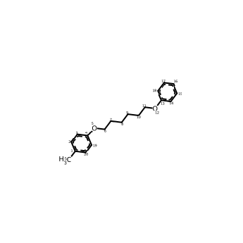 Cc1ccc(OCCCCCCOc2ccccc2)cc1